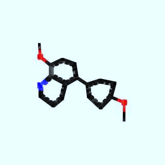 COc1ccc(-c2ccc(OC)c3ncccc23)cc1